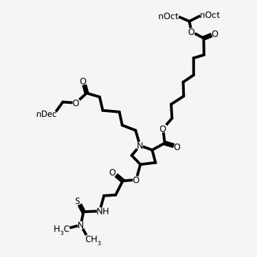 CCCCCCCCCCCOC(=O)CCCCCN1CC(OC(=O)CCNC(=S)N(C)C)CC1C(=O)OCCCCCCCC(=O)OC(CCCCCCCC)CCCCCCCC